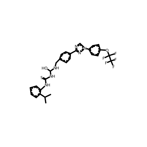 CC(C)c1ccccc1NC(=S)NC(O)NCc1ccc(-c2ncn(-c3ccc(OC(F)(F)C(F)(F)F)cc3)n2)cc1